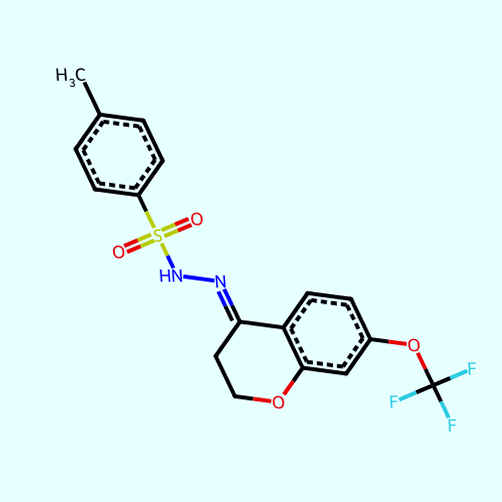 Cc1ccc(S(=O)(=O)NN=C2CCOc3cc(OC(F)(F)F)ccc32)cc1